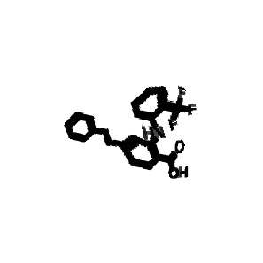 O=C(O)c1ccc(CCc2ccccc2)cc1Nc1ccccc1C(F)(F)F